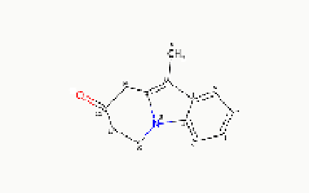 Cc1c2n(c3ccccc13)CCC(=O)C2